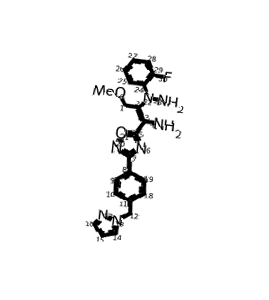 COC/C(=C(/N)c1nc(-c2ccc(Cn3cccn3)cc2)no1)N(N)c1ccccc1F